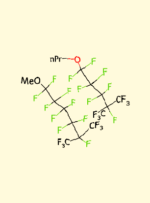 CCCOC(F)(F)C(F)(F)C(F)(F)C(F)(C(F)(F)F)C(F)(F)F.COC(F)(F)C(F)(F)C(F)(F)C(F)(F)C(F)(C(F)(F)F)C(F)(F)F